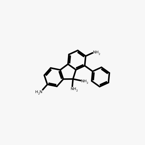 Nc1ccc2c(c1)C(N)(N)c1c-2ccc(N)c1-c1ccccc1